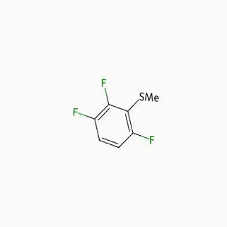 CSc1c(F)ccc(F)c1F